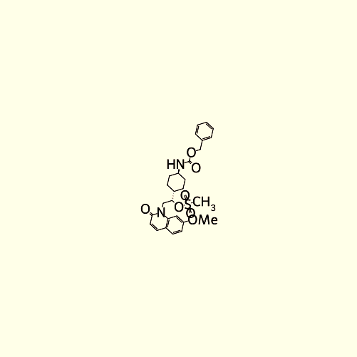 COc1ccc2ccc(=O)n(CC(OS(C)(=O)=O)[C@H]3CC[C@H](NC(=O)OCc4ccccc4)CC3)c2c1